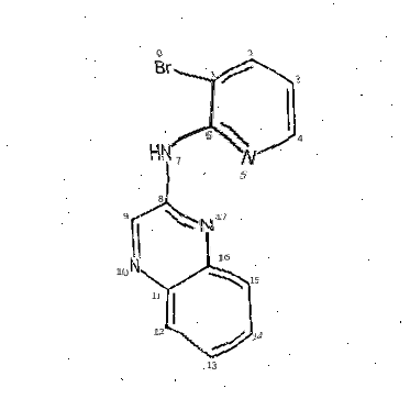 Brc1cccnc1Nc1cnc2ccccc2n1